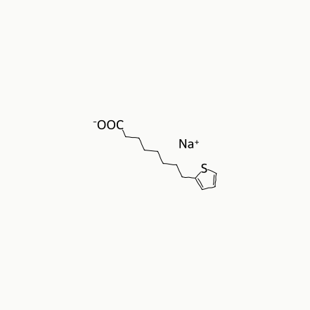 O=C([O-])CCCCCCCc1cccs1.[Na+]